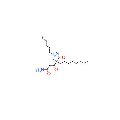 CCCCCCCCC(CCCCCCCC)(C(N)=O)C(=O)CC(N)=O